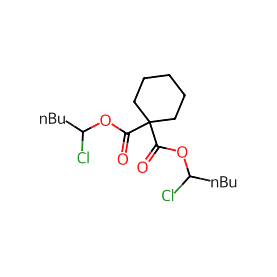 CCCCC(Cl)OC(=O)C1(C(=O)OC(Cl)CCCC)CCCCC1